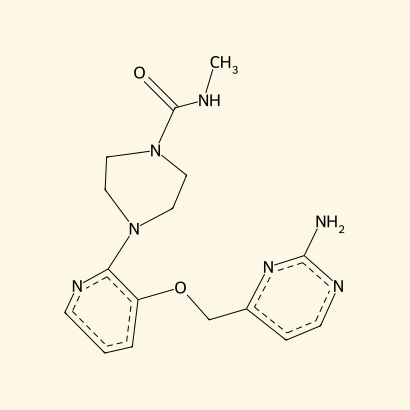 CNC(=O)N1CCN(c2ncccc2OCc2ccnc(N)n2)CC1